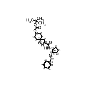 CC(C)(C)OC(=O)ON1CCC2(CC1)CC(C(=O)N[C@@H]1CCC[C@H]1OCc1ccccc1)=NO2